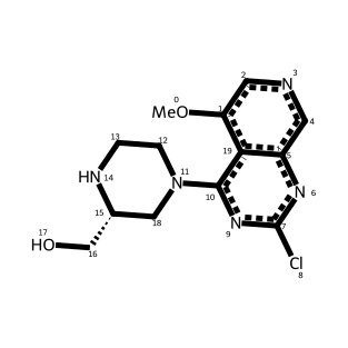 COc1cncc2nc(Cl)nc(N3CCN[C@@H](CO)C3)c12